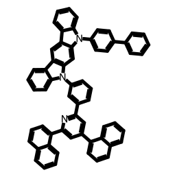 c1ccc(-c2ccc(-n3c4ccccc4c4cc5c6ccccc6n(-c6cccc(-c7cc(-c8cccc9ccccc89)cc(-c8cccc9ccccc89)n7)c6)c5cc43)cc2)cc1